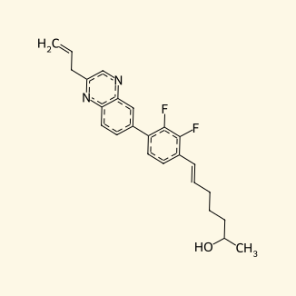 C=CCc1cnc2cc(-c3ccc(C=CCCCC(C)O)c(F)c3F)ccc2n1